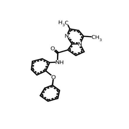 Cc1cc(C)n2ccc(C(=O)Nc3ccccc3Oc3ccccc3)c2n1